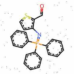 O=Cc1sccc1N=P(c1ccccc1)(c1ccccc1)c1ccccc1